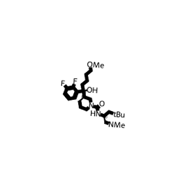 CNC[C@H](CC(C)(C)C)NC(=O)N1CCC[C@@H]([C@@](O)(CCCCOC)c2cccc(F)c2F)C1